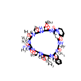 CC(C)C[C@H]1C(=O)N[C@@](N)([C@@H](C)O)C(=O)N(C)[C@@H](C)C(=O)N(C)[C@@H](CC(C)C)C(=O)N[C@@H](COC(C)(C)C)C(=O)NC(C(=O)N2CCCCC2)CC(=O)N[C@H](C(C)C)C(=O)N(C)[C@@H](Cc2ccccc2)C(=O)N(C)[C@@H](C)C(=O)N1C